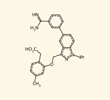 Cc1ccc(CC(=O)O)c(OCc2nn(C(C)C)c3ccc(-c4cccc(C(=N)N)c4)cc23)c1